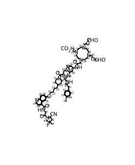 CC1(F)C[C@H](C#N)N(C(=O)CNC(=O)c2ccnc3ccc(OCCCCC4CCN(C(=O)CCN/N=C\[C@H](C/C=N/NCN/N=C/c5ccc(I)cc5)NC(=O)CN5CCN(COC=O)CCN(COC=O)CCN(CC(=O)O)CC5)CC4)cc23)C1